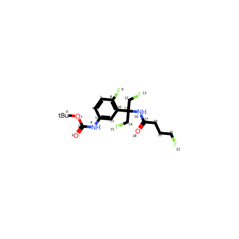 CC(C)(C)OC(=O)Nc1ccc(F)c(C(CF)(CF)NC(=O)CCCF)c1